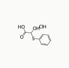 Cl.O=C(O)C(O)Sc1ccccc1